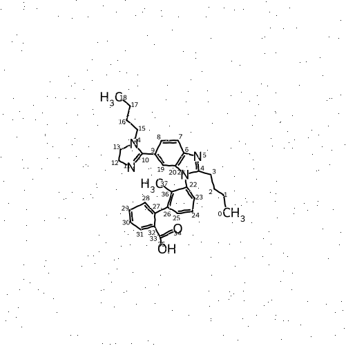 CCCCc1nc2ccc(C3=NCCN3CCCC)cc2n1-c1cccc(-c2ccccc2C(=O)O)c1C